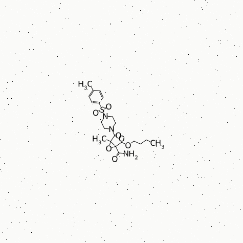 CCCCOC(=O)C1(C(N)=O)OC1(C)C(=O)N1CCN(S(=O)(=O)c2ccc(C)cc2)CC1